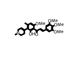 COc1cc(/C=C/C(=O)c2c(OC)cc(C)c(C3=CCN(C)CC3)c2O)cc(OC)c1OC